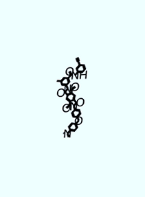 C#Cc1cccc(NC(=O)c2cc(C)cc(-n3c(=O)c4cc5c(=O)n(-c6ccc(Oc7ccc(N(C)C)cc7)cc6)c(=O)c5cc4c3=O)c2)c1